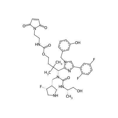 C[C@@H](CO)NC(=O)N(C[C@@H]1CNC[C@@H]1F)[C@@H](c1nc(-c2cc(F)ccc2F)cn1Cc1cccc(O)c1)C(C)(C)CCOC(=O)NCCN1C(=O)C=CC1=O